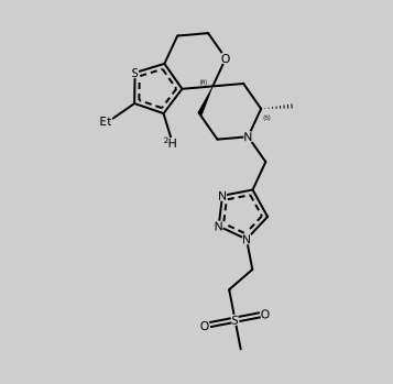 [2H]c1c(CC)sc2c1[C@]1(CCN(Cc3cn(CCS(C)(=O)=O)nn3)[C@@H](C)C1)OCC2